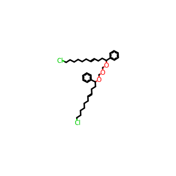 ClCCCCCCC=CCCC(OCOCOC(CCC=CCCCCCCCl)c1ccccc1)c1ccccc1